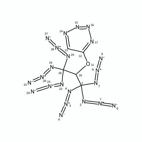 [N-]=[N+]=NC(N=[N+]=[N-])(N=[N+]=[N-])C(Oc1cnnnn1)C(N=[N+]=[N-])(N=[N+]=[N-])N=[N+]=[N-]